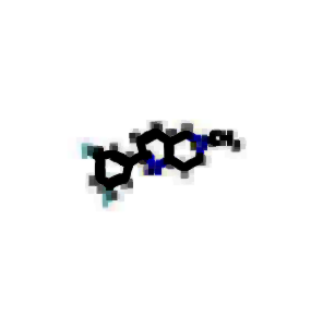 CN1CCc2nc(-c3cc(F)cc(F)c3)ccc2C1